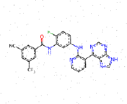 N#Cc1cc(C(=O)Nc2cc(Nc3ncccc3-c3ncnc4[nH]cnc34)ccc2F)cc(C(F)(F)F)c1